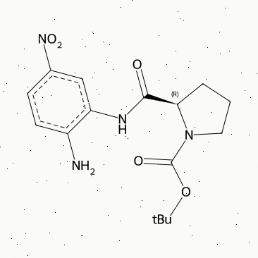 CC(C)(C)OC(=O)N1CCC[C@@H]1C(=O)Nc1cc([N+](=O)[O-])ccc1N